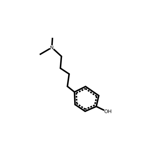 CN(C)CCCCc1ccc(O)cc1